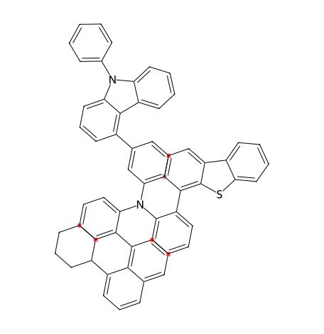 c1ccc(-n2c3ccccc3c3c(-c4cccc(N(c5ccccc5-c5cccc6c5sc5ccccc56)c5ccccc5-c5cccc6cccc(C7CCCCC7)c56)c4)cccc32)cc1